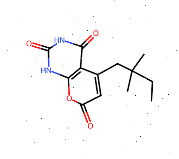 CCC(C)(C)Cc1cc(=O)oc2[nH]c(=O)[nH]c(=O)c12